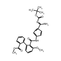 COC(=O)c1ccccc1-c1cccc(OC)c1C(=O)Nc1ccc(C(N)=NC(=O)OC(C)(C)C)cc1